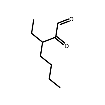 CCCCC(CC)C(=O)C=O